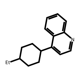 CCC1CCC(c2ccnc3ccccc23)CC1